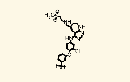 CS(=O)(=O)CCNCC1=Cc2c(ncnc2Nc2ccc(Oc3cccc(C(F)(F)F)c3)c(Cl)c2)NCC1